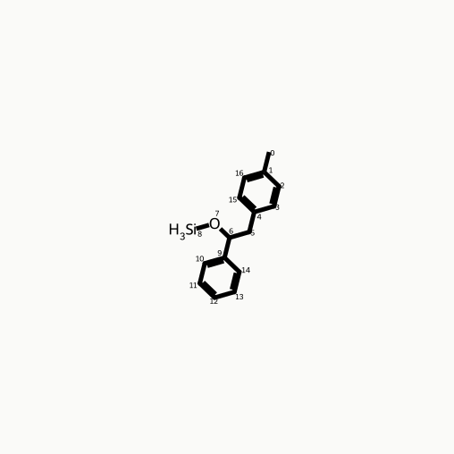 Cc1ccc(CC(O[SiH3])c2ccccc2)cc1